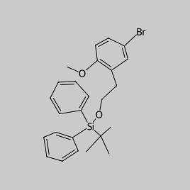 COc1ccc(Br)cc1CCO[Si](c1ccccc1)(c1ccccc1)C(C)(C)C